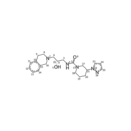 O=C(NC[C@H](O)CN1CCc2ccccc2C1)N1CCCC(n2cccn2)C1